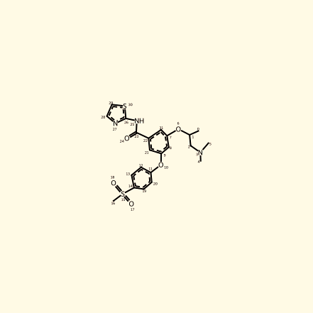 CC(CN(C)C)Oc1cc(Oc2ccc(S(C)(=O)=O)cc2)cc(C(=O)Nc2nccs2)c1